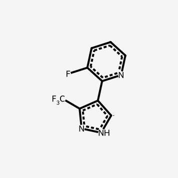 Fc1cccnc1-c1[c][nH]nc1C(F)(F)F